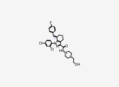 O=C(NN1CCN(CCO)CC1)c1nn(-c2ccc(Cl)cc2Cl)c2c1CSC/C2=C\c1ccc(F)cc1